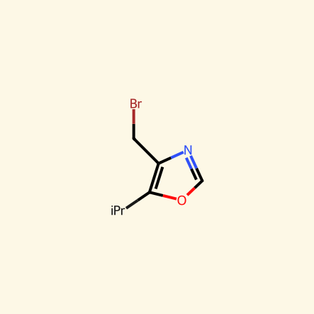 CC(C)c1ocnc1CBr